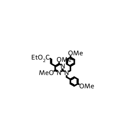 CCOC(=O)C=Cc1c(OC)nc(N(Cc2ccc(OC)cc2)Cc2ccc(OC)cc2)nc1OC